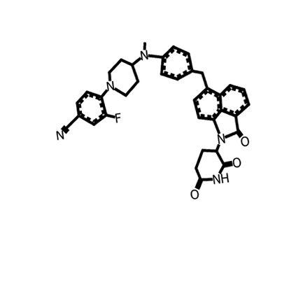 CN(c1ccc(Cc2ccc3c4c(cccc24)C(=O)N3C2CCC(=O)NC2=O)cc1)C1CCN(c2ccc(C#N)cc2F)CC1